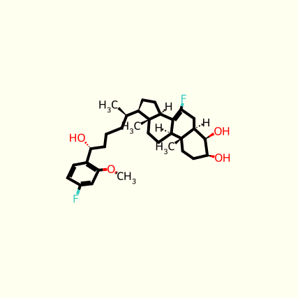 COc1cc(F)ccc1[C@H](O)CCC[C@@H](C)[C@H]1CC[C@H]2C3=C(F)C[C@H]4[C@@H](O)[C@@H](O)CC[C@]4(C)[C@H]3CC[C@]12C